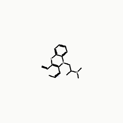 C=CC1=C(/C=C\C)N(CC(C)N(C)C)c2ccccc2S1